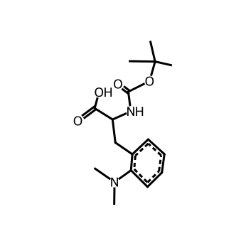 CN(C)c1ccccc1CC(NC(=O)OC(C)(C)C)C(=O)O